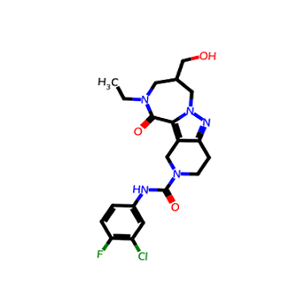 CCN1CC(CO)Cn2nc3c(c2C1=O)CN(C(=O)Nc1ccc(F)c(Cl)c1)CC3